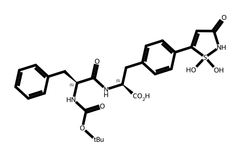 CC(C)(C)OC(=O)N[C@@H](Cc1ccccc1)C(=O)N[C@@H](Cc1ccc(C2=CC(=O)NS2(O)O)cc1)C(=O)O